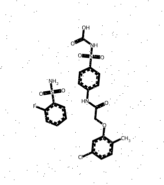 Cc1ccc(Cl)cc1OCC(=O)Nc1ccc(S(=O)(=O)NC(=O)O)cc1.NS(=O)(=O)c1ccccc1F